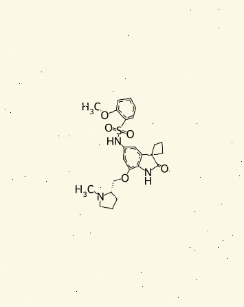 COc1ccccc1S(=O)(=O)Nc1cc(OC[C@@H]2CCCN2C)c2c(c1)C1(CCC1)C(=O)N2